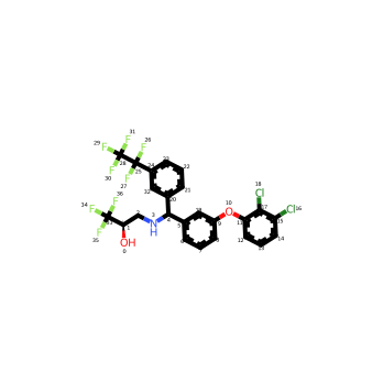 O[C@H](CNC(c1cccc(Oc2cccc(Cl)c2Cl)c1)c1cccc(C(F)(F)C(F)(F)F)c1)C(F)(F)F